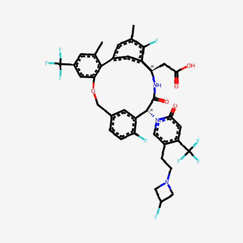 Cc1cc2cc(c1F)[C@@H](CC(=O)O)NC(=O)[C@H](n1cc(CCN3CC(F)C3)c(C(F)(F)F)cc1=O)c1cc(ccc1F)COc1cc(C(F)(F)F)cc(C)c1-2